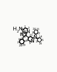 Nc1ccnc2c(-c3ccnc(N(C4CCCC4)C4CCCC4)c3)c(-c3ccccc3)nn12